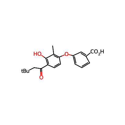 Cc1c(Oc2cccc(C(=O)O)c2)ccc(C(=O)CC(C)(C)C)c1O